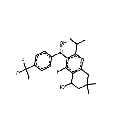 CC(C)c1nc2c(c(I)c1[C@@H](O)c1ccc(C(F)(F)F)cc1)C(O)CC(C)(C)C2